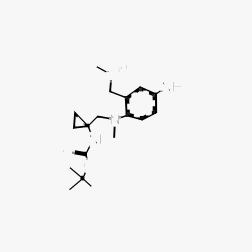 CN(CC1(NC(=O)OC(C)(C)C)CC1)c1ccc(N)cc1C[S+](C)[O-]